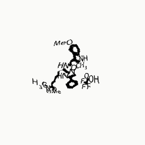 COc1ccc2[nH]c(C)c(CC(=O)N[C@@H](CCCCCC(=O)N(C)OC)c3ncc(-c4ccccc4)[nH]3)c2c1.O=C(O)C(F)(F)F